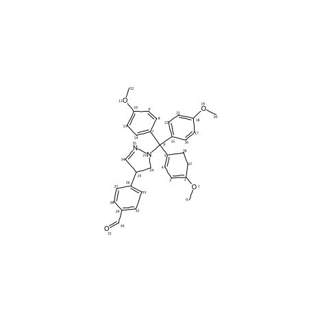 COC1=CC=C(C(c2ccc(OC)cc2)(c2ccc(OC)cc2)N2CC(c3ccc(C=O)cc3)C=N2)CC1